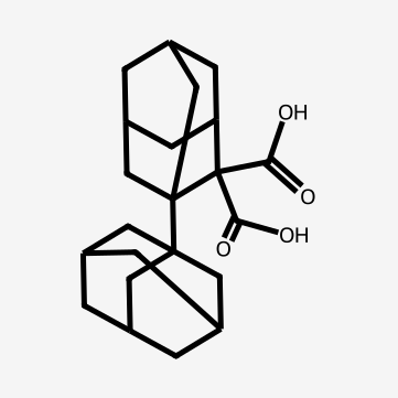 O=C(O)C1(C(=O)O)C2CC3CC(C2)CC1(C12CC4CC(CC(C4)C1)C2)C3